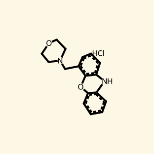 Cl.c1ccc2c(c1)Nc1cccc(CN3CCOCC3)c1O2